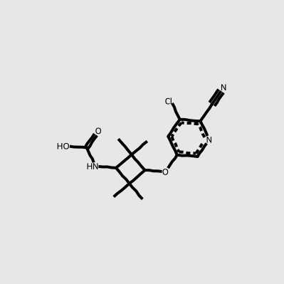 CC1(C)C(NC(=O)O)C(C)(C)C1Oc1cnc(C#N)c(Cl)c1